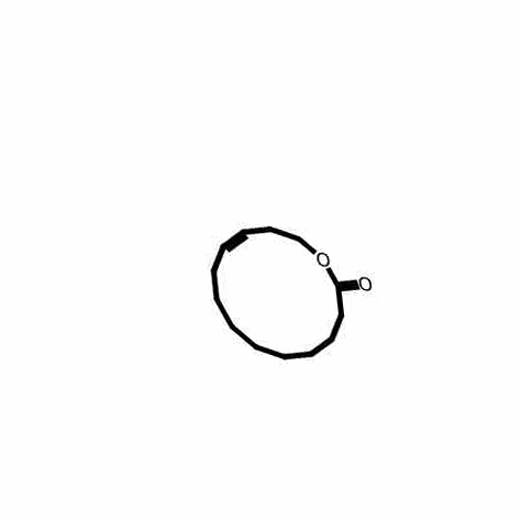 O=C1CCCCCCCC/C=C\CCO1